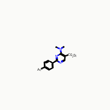 CCOC(=O)c1cnc(-c2ccc(C(C)=O)cc2)nc1N(C)C